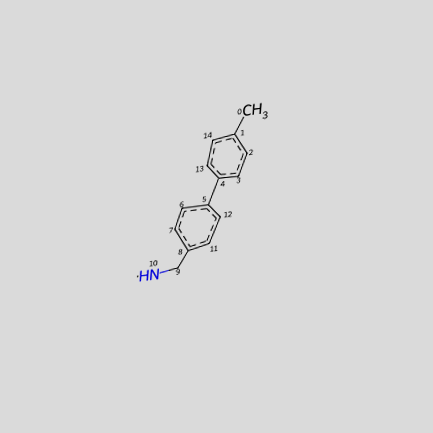 Cc1ccc(-c2ccc(C[NH])cc2)cc1